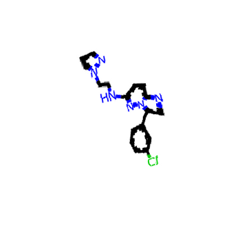 Clc1cccc(-c2cnc3ccc(NCCn4cccn4)nn23)c1